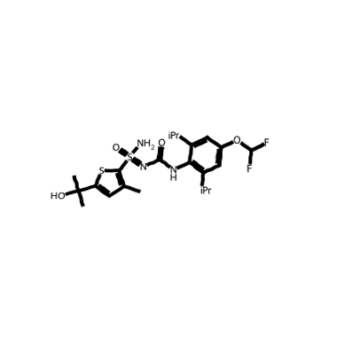 Cc1cc(C(C)(C)O)sc1S(N)(=O)=NC(=O)Nc1c(C(C)C)cc(OC(F)F)cc1C(C)C